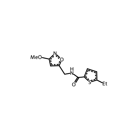 CCc1ccc(C(=O)NCc2cc(OC)no2)s1